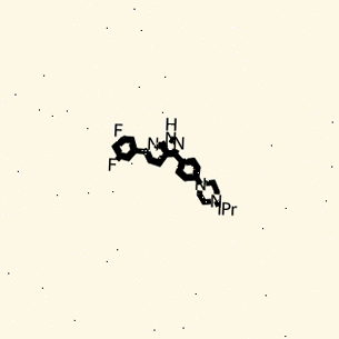 CC(C)N1CCN(c2ccc(-c3n[nH]c4nc(-c5cc(F)cc(F)c5)ccc34)cc2)CC1